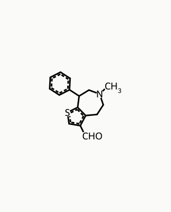 CN1CCc2c(C=O)csc2C(c2ccccc2)C1